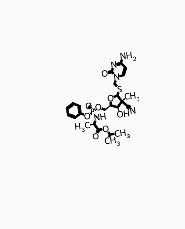 CC(C)OC(=O)[C@@H](C)N[P@@](=O)(OC[C@H]1OC(SCn2ccc(N)nc2=O)[C@](C)(C#N)[C@@H]1O)Oc1ccccc1